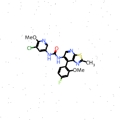 COc1cc(F)ccc1-c1c(NC(=O)Nc2cnc(OC)c(Cl)c2)cnc2sc(C)nc12